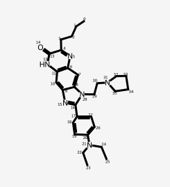 CCCCc1nc2cc3c(cc2[nH]c1=O)nc(-c1ccc(N(CC)CC)cc1)n3CCN1CCCC1